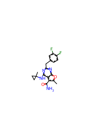 Cc1oc2nc(Cc3ccc(F)c(F)c3)nc(NC3(C)CC3)c2c1C(N)=O